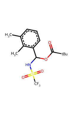 Cc1cccc(C(NS(=O)(=O)C(F)(F)F)OC(=O)C(C)(C)C)c1C